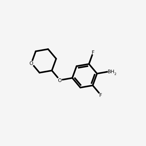 Bc1c(F)cc(OC2CCCOC2)cc1F